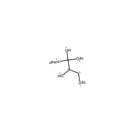 CCCCCC(O)(OC(C)=O)C(O)COC(C)=O